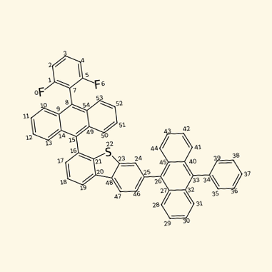 Fc1cccc(F)c1-c1c2ccccc2c(-c2cccc3c2sc2cc(-c4c5ccccc5c(-c5ccccc5)c5ccccc45)ccc23)c2ccccc12